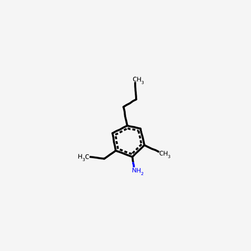 CCCc1cc(C)c(N)c(CC)c1